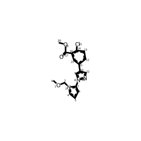 COCn1cccc1-n1cc(-c2ccc(Cl)c(C(=O)OC)c2)cn1